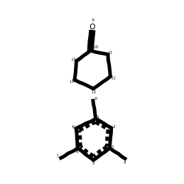 Cc1cc(C)cc(C)c1.O=C1CCCCC1